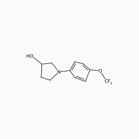 OC1CCN(c2ccc(OC(F)(F)F)cc2)C1